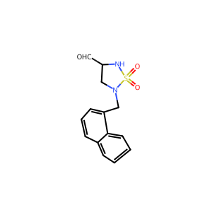 O=CC1CN(Cc2cccc3ccccc23)S(=O)(=O)N1